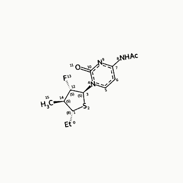 CC[C@H]1S[C@H](n2ccc(NC(C)=O)nc2=O)[C@@H](F)[C@@H]1C